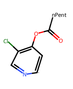 CCCCCC(=O)Oc1c[c]ncc1Cl